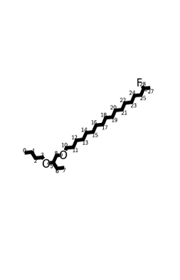 CCCCOC(CC)COCCCCCCCCCCCCCCCCC(C)F